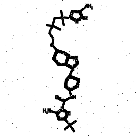 CC(C)(CCOc1ccc2c(c1)ncn2-c1ccc(NC(=O)n2nc(C(C)(C)C)cc2N)cc1)CC(C)(C)c1cc(N)[nH]n1